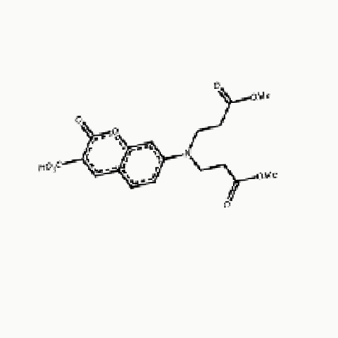 COC(=O)CCN(CCC(=O)OC)c1ccc2cc(C(=O)O)c(=O)oc2c1